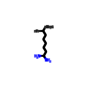 CCCCCCCC(CCC)CCCCCC(N)N